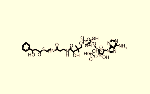 CC(C)(COP(=O)(O)OP(=O)(O)OC[C@H]1O[C@@H](n2cnc3c(N)ncnc32)[C@H](O)[C@@H]1OP(=O)(O)O)C(O)C(=O)NCCC(=O)NCCSC(=O)CC(O)c1ccccc1